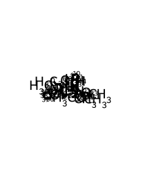 CCCC(NC(=O)[C@@H]1[C@H]2CCC[C@H]2CN1C(=O)[C@@H](NC(=O)OC(C)C)C(C)C)C(C(=O)N[C@@H](C)c1ccccc1)=C1CC1